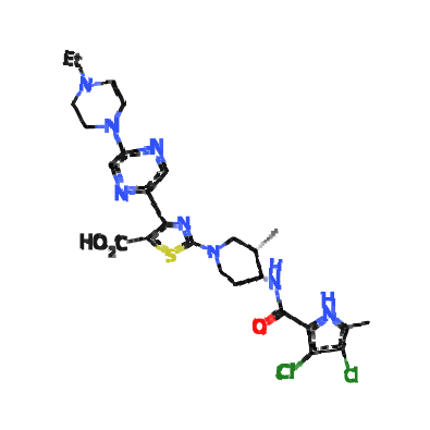 CCN1CCN(c2cnc(-c3nc(N4CC[C@@H](NC(=O)c5[nH]c(C)c(Cl)c5Cl)[C@@H](C)C4)sc3C(=O)O)cn2)CC1